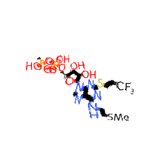 CSCCNc1nc(SCCC(F)(F)F)nc2c1ncn2C1O[C@H](COP(=O)(O)OP(C)(=O)O)[C@@H](O)[C@H]1O